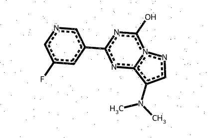 CN(C)c1cnn2c(O)nc(-c3cncc(F)c3)nc12